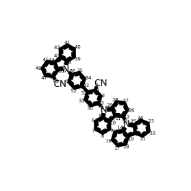 N#Cc1cc(-n2c3ccccc3c3c(-n4c5ccccc5c5ccccc54)cccc32)ccc1-c1ccc(-n2c3ccccc3c3cccc(C#N)c32)cc1